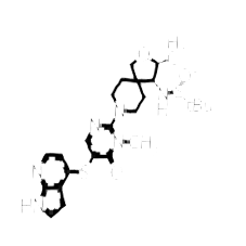 C[C@@H]1OCC2(CCN(c3ncc(Sc4ccnc5[nH]ccc45)c(=O)n3C)CC2)[C@@H]1N[S@+]([O-])C(C)(C)C